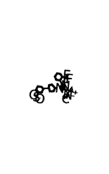 [C-]#[N+]C1(c2cn(-c3ccc(-c4cccc(S(C)(=O)=O)c4)cc3)c(-c3ccccc3C(F)(F)F)n2)CC1